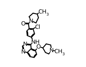 CC1CCN(C(=O)c2ccc(Nc3ncnc4cccc(OC5CCN(C)CC5)c34)cc2Cl)CC1